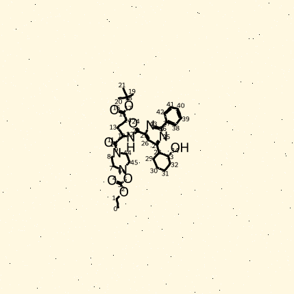 CCOC(=O)ON1CCN(C(=O)C(CCC(=O)OC(C)(C)C)NC(=O)c2cc(C3CCCC[C@@H]3O)nc(-c3ccccc3)n2)CC1